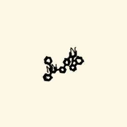 C1=CCCC(c2nc(-c3ccccc3)cc(-c3cccc(-c4ccc5c(c4)[C@@]4(C6=C(CCC=C6)c6ccccc64)c4ccncc4-5)c3)n2)=C1